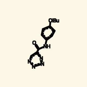 CC(C)COc1ccc(NC(=O)c2cnnnn2)cc1